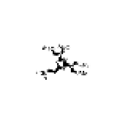 COCN(COC)c1nc(CCNO)nc(N(COC)COC)n1